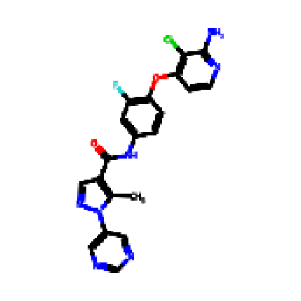 Cc1c(C(=O)Nc2ccc(Oc3ccnc(N)c3Cl)c(F)c2)cnn1-c1cncnc1